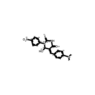 CN(C)c1ccc(C=C2C(=O)NC(=S)N(c3ccc([N+](=O)[O-])cc3)C2O)cc1